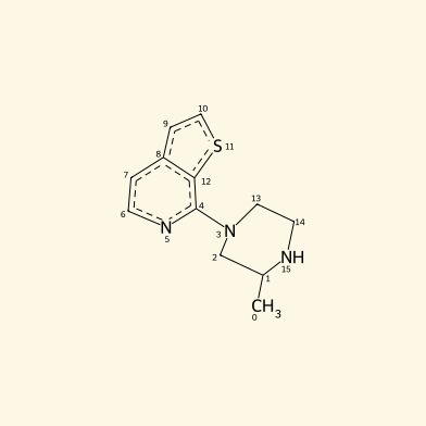 CC1CN(c2nccc3ccsc23)CCN1